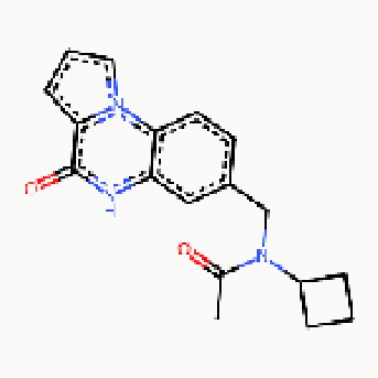 CC(=O)N(Cc1ccc2c(c1)[nH]c(=O)c1cccn12)C1CCC1